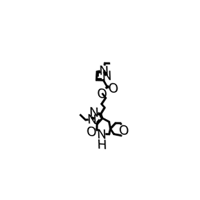 CCn1ccc(C(=O)OCCCc2nn(CC)c3c2CC2(CCOCC2)CNC3=O)n1